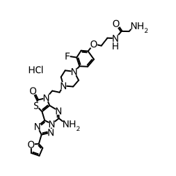 Cl.NCC(=O)NCCOc1ccc(N2CCN(CCn3c(=O)sc4c3nc(N)n3nc(-c5ccco5)nc43)CC2)c(F)c1